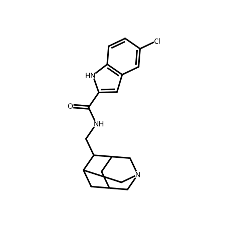 O=C(NCC1C2CC3CC1CN(C3)C2)c1cc2cc(Cl)ccc2[nH]1